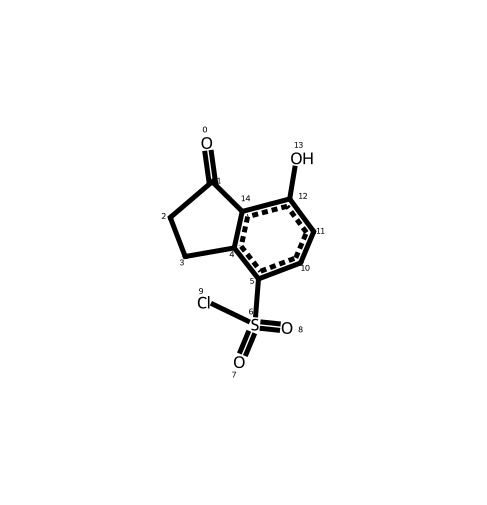 O=C1CCc2c(S(=O)(=O)Cl)ccc(O)c21